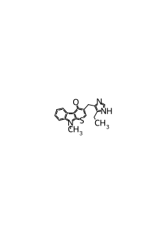 CCc1[nH]cnc1Cc1csc2c(c1=O)c1ccccc1n2C